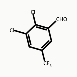 O=Cc1cc(C(F)(F)F)cc(Cl)c1Cl